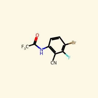 N#Cc1c(NC(=O)C(F)(F)F)ccc(Br)c1F